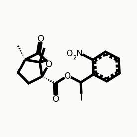 CC1(C)[C@@]2(C)CC[C@]1(C(=O)OC(I)c1ccccc1[N+](=O)[O-])OC2=O